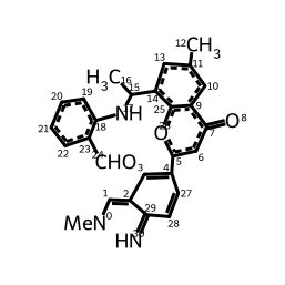 CN/C=C1/C=C(c2cc(=O)c3cc(C)cc(C(C)Nc4ccccc4C=O)c3o2)C=CC1=N